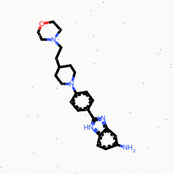 Nc1ccc2[nH]c(-c3ccc(N4CCC(CCN5CCOCC5)CC4)cc3)nc2c1